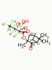 CC1(OC(=O)C(F)(C(F)(F)C(F)(F)F)S(=O)(=O)O)CC2CC(C1=O)C2(C)C